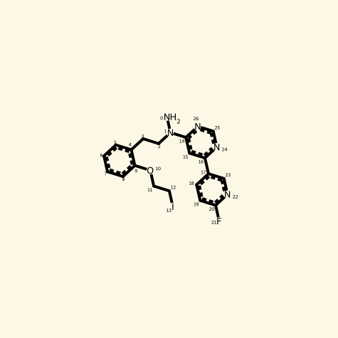 NN(CCc1ccccc1OCCI)c1cc(-c2ccc(F)nc2)ncn1